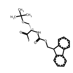 CC(C)(C)OC[C@H](NC(=O)OCC1c2ccccc2-c2ccccc21)C(=O)F